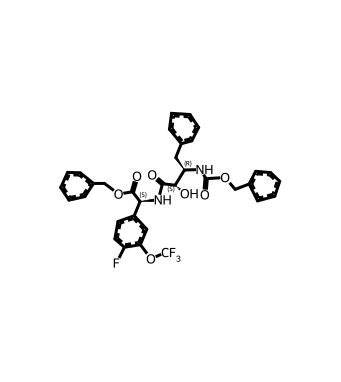 O=C(N[C@H](Cc1ccccc1)[C@H](O)C(=O)N[C@H](C(=O)OCc1ccccc1)c1ccc(F)c(OC(F)(F)F)c1)OCc1ccccc1